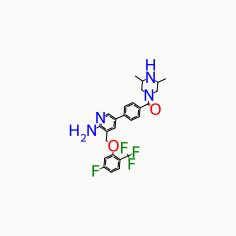 CC1CN(C(=O)c2ccc(-c3cnc(N)c(COc4cc(F)ccc4C(F)(F)F)c3)cc2)CC(C)N1